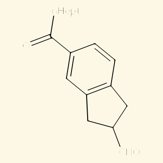 CCCCCCCC(=O)c1ccc2c(c1)CC(C=O)C2